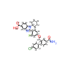 NC(=O)c1ccc(-c2ccc(Cl)cc2)c(COc2ccc(-c3nc4cc(C(=O)O)ccc4n3C3CCCCC3)c(F)c2)c1